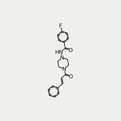 O=C(NN1CCN(C(=O)/C=C/c2ccccc2)CC1)c1ccc(F)cc1